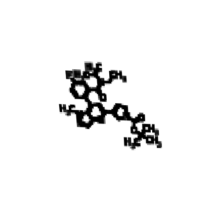 CCN(C(=O)c1cc(F)ccc1-c1cc(C2=CCN(C(=O)OC(C)(C)C)C2)nc2cnn(C)c12)C(C)C